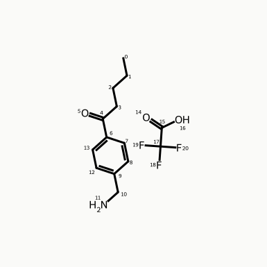 CCCCC(=O)c1ccc(CN)cc1.O=C(O)C(F)(F)F